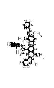 Br.Br.Br.Br.Cc1cc(Cc2cc(C(C)C)c(N=Cc3ccccn3)c(C(C)C)c2)cc(C)c1N=Cc1ccccn1.[Pd].[Pd]